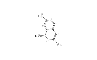 C=C1SC(C)=Nc2ccc(C)cc21